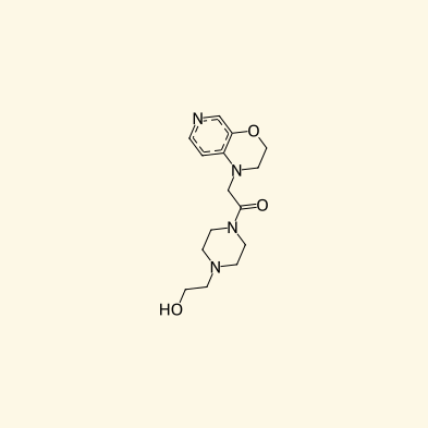 O=C(CN1CCOc2cnccc21)N1CCN(CCO)CC1